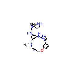 CN1C/C=C/CCOc2cccc(c2)-c2ccnc(n2)Nc2cc(cc(NCCN(C)C3CCCNC3)c2)C1